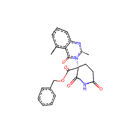 Cc1cccc2nc(C)n([C@]3(C(=O)OCc4ccccc4)CCC(=O)NC3=O)c(=O)c12